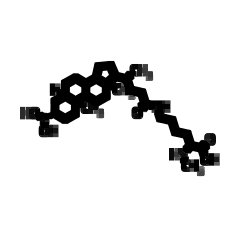 CNC(CCCCNC(=O)CCC(C)C1CCC2C3CC[C@H]4C[C@@H](B(O)O)CC[C@@]4(C)C3CC[C@@]12C)C(=O)O